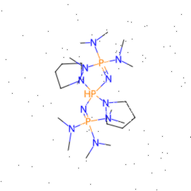 CN(C)P(=N[PH](N=P(N(C)C)(N(C)C)N(C)C)(N1CCCC1)N1CCCC1)(N(C)C)N(C)C